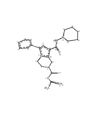 C=C(C)OC(=O)N1CCn2c(-c3ccccc3)nc(C(=O)NN3CCCCC3)c2C1